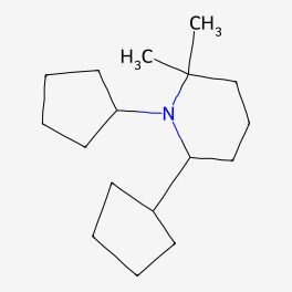 CC1(C)CCCC(C2CCCC2)N1C1CCCC1